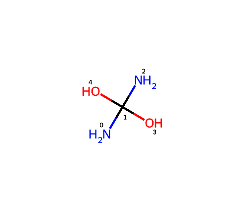 NC(N)(O)O